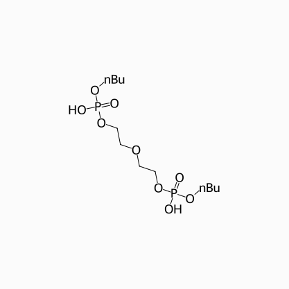 CCCCOP(=O)(O)OCCOCCOP(=O)(O)OCCCC